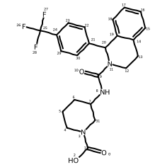 O=C(O)N1CCCC(NC(=O)N2CCc3ccccc3C2c2ccc(C(F)(F)F)cc2)C1